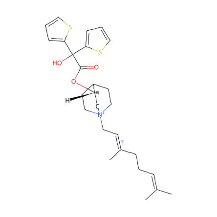 CC(C)=CCC/C(C)=C/C[N+]12CCC(CC1)[C@@H](OC(=O)C(O)(c1cccs1)c1cccs1)C2